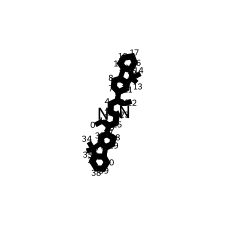 Cc1nc2cc(-c3ccc4c(c3)C(C)(C)c3ccccc3-4)c(C)nc2cc1-c1ccc2c(c1)C(C)(C)c1ccccc1-2